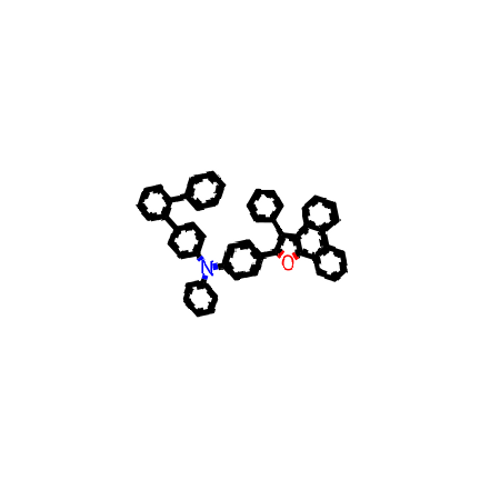 c1ccc(-c2ccccc2-c2ccc(N(c3ccccc3)c3ccc(-c4oc5c6ccccc6c6ccccc6c5c4-c4ccccc4)cc3)cc2)cc1